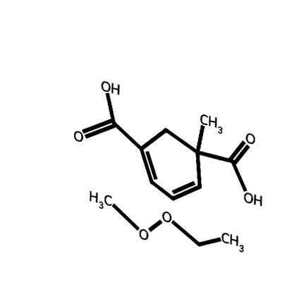 CC1(C(=O)O)C=CC=C(C(=O)O)C1.CCOOC